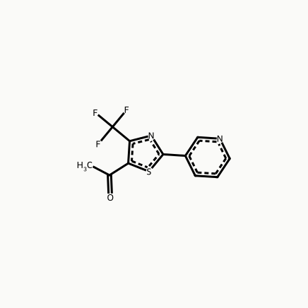 CC(=O)c1sc(-c2cccnc2)nc1C(F)(F)F